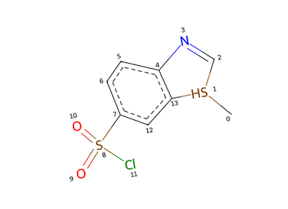 C[SH]1C=Nc2ccc(S(=O)(=O)Cl)cc21